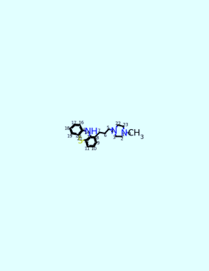 CN1CCN(CCCc2cccc3c2Nc2ccccc2S3)CC1